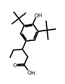 CCC(CC(=O)O)c1cc(C(C)(C)C)c(O)c(C(C)(C)C)c1